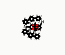 N#Cc1cccc(-c2cc(-n3c4ccccc4c4ccc5c6ccccc6n(-c6ccccc6)c5c43)c(C#N)c(-n3c4ccccc4c4ccc5c6ccccc6n(-c6ccccc6)c5c43)c2)c1